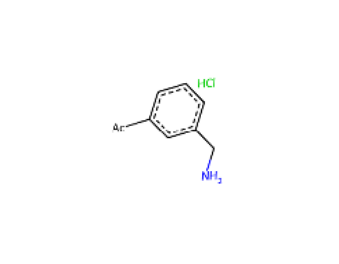 CC(=O)c1cccc(CN)c1.Cl